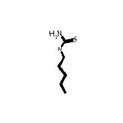 CCCCC[N]C(N)=S